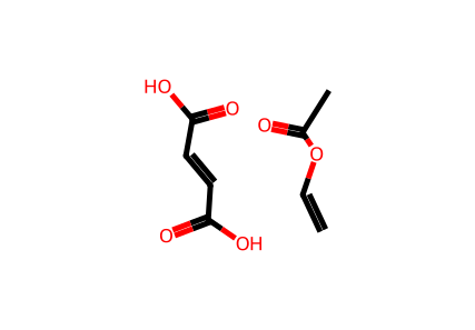 C=COC(C)=O.O=C(O)C=CC(=O)O